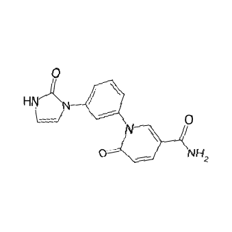 NC(=O)c1ccc(=O)n(-c2cccc(-n3cc[nH]c3=O)c2)c1